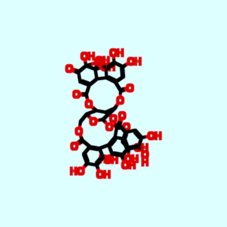 O=C1OC2C3COC(=O)c4cc(O)c(O)c(O)c4-c4c(cc(O)c(O)c4O)C(=O)OC2C(OC(=O)c2cc(O)c(O)c4c2C2C1=CC(=O)[C@](O)(O4)C2(O)O)C(OC(=O)c1cc(O)c(O)c(O)c1)O3